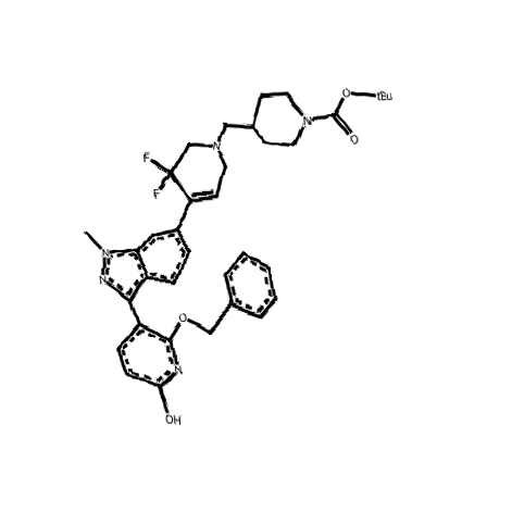 Cn1nc(-c2ccc(O)nc2OCc2ccccc2)c2ccc(C3=CCN(CC4CCN(C(=O)OC(C)(C)C)CC4)CC3(F)F)cc21